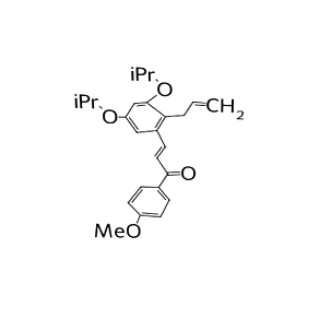 C=CCc1c(/C=C/C(=O)c2ccc(OC)cc2)cc(OC(C)C)cc1OC(C)C